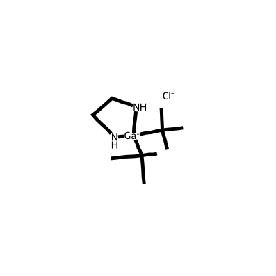 C[C](C)(C)[Ga-]1([C](C)(C)C)[NH]CC[NH]1.[Cl-]